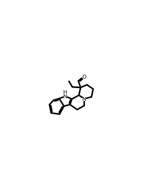 CCC1(C=O)CCCN2CCc3c([nH]c4ccccc34)C21